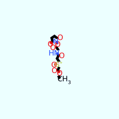 CCOC(=O)C[S+]([O-])CCC(=O)NCC(=O)ON1C(=O)CCC1=O